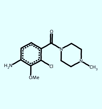 COc1c(N)ccc(C(=O)N2CCN(C)CC2)c1Cl